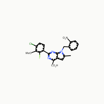 COc1c(Cl)ccc(-c2nc(C(=O)O)c3cc(C)n(Cc4ccccc4[N+](=O)[O-])c3n2)c1F